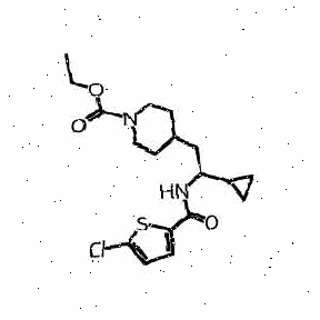 CCOC(=O)N1CCC(C[C@H](NC(=O)c2ccc(Cl)s2)C2CC2)CC1